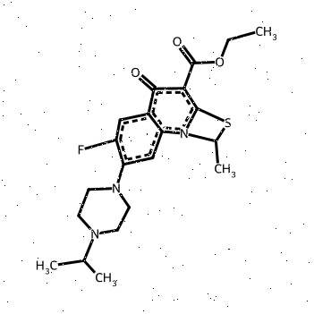 CCOC(=O)c1c2n(c3cc(N4CCN(C(C)C)CC4)c(F)cc3c1=O)C(C)S2